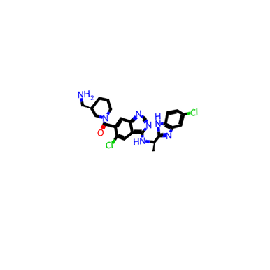 C[C@@H](Nc1ncnc2cc(C(=O)N3CCC[C@H](CN)C3)c(Cl)cc12)c1nc2cc(Cl)ccc2[nH]1